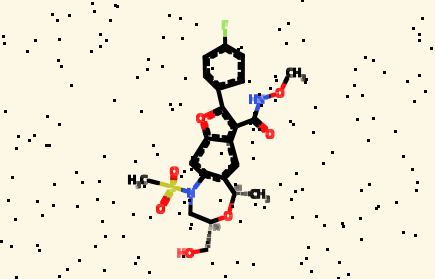 CONC(=O)c1c(-c2ccc(F)cc2)oc2cc3c(cc12)[C@H](C)O[C@H](CO)CN3S(C)(=O)=O